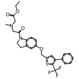 CCOC(=O)CN(C)CC(=O)N1CCc2cc(OCc3cc(-c4ccccc4)c(C(F)(F)F)s3)ccc21